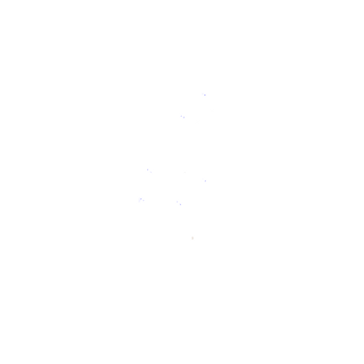 O/N=C(\Nc1ccc(F)c(Br)c1)c1nonc1OCc1c[nH]cn1